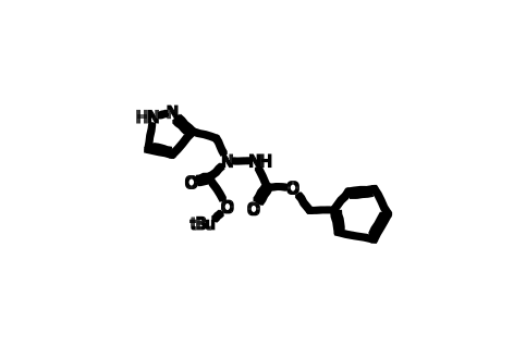 CC(C)(C)OC(=O)N(Cc1cc[nH]n1)NC(=O)OCc1ccccc1